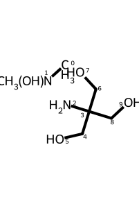 CN(C)O.NC(CO)(CO)CO